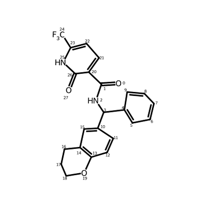 O=C(NC(c1ccccc1)c1ccc2c(c1)CCCO2)c1ccc(C(F)(F)F)[nH]c1=O